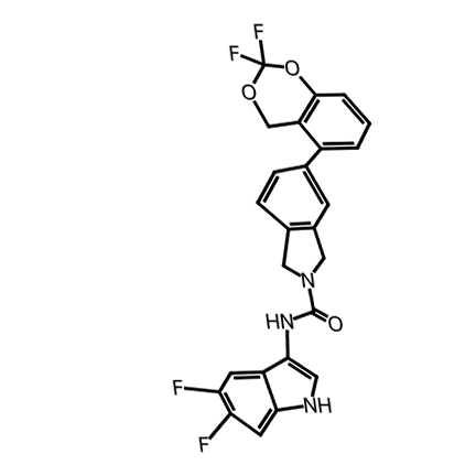 O=C(Nc1c[nH]c2cc(F)c(F)cc12)N1Cc2ccc(-c3cccc4c3COC(F)(F)O4)cc2C1